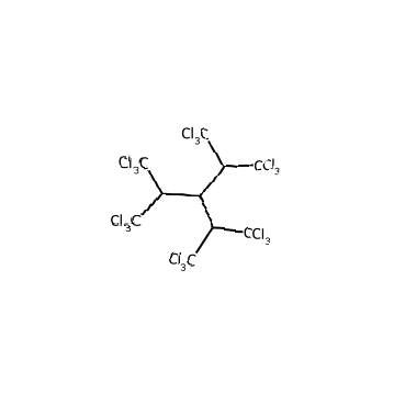 ClC(Cl)(Cl)C([C](C(C(Cl)(Cl)Cl)C(Cl)(Cl)Cl)C(C(Cl)(Cl)Cl)C(Cl)(Cl)Cl)C(Cl)(Cl)Cl